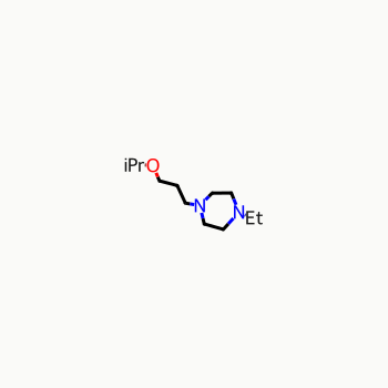 CCN1CCN(CCCOC(C)C)CC1